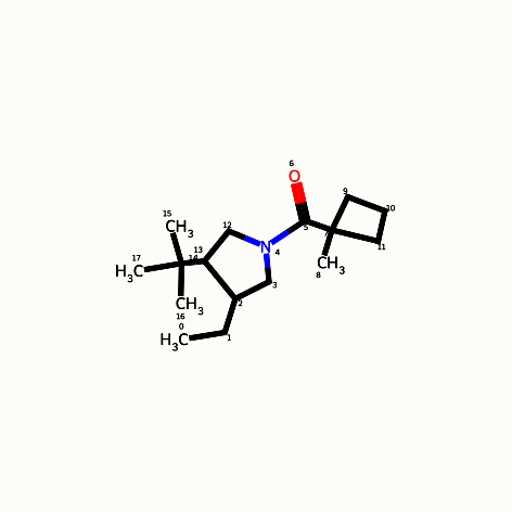 CCC1CN(C(=O)C2(C)CCC2)CC1C(C)(C)C